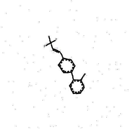 Cc1ccccc1-c1ccc(/C=C/C(C)(F)F)cc1